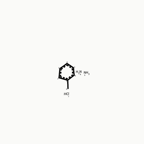 Cc1ccccc1.Cl.N.N